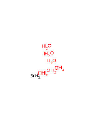 O.O.O.O.O.O.[SrH2]